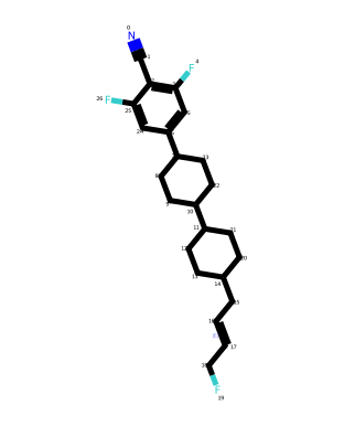 N#Cc1c(F)cc(C2CCC(C3CCC(C/C=C/CF)CC3)CC2)cc1F